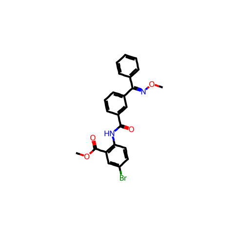 CO/N=C(\c1ccccc1)c1cccc(C(=O)Nc2ccc(Br)cc2C(=O)OC)c1